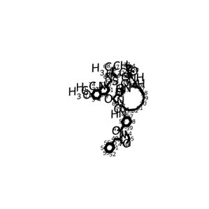 COc1ccc2c(O[C@@H]3C[C@H]4C(=O)N[C@]5(C(=O)NS(=O)(=O)C6(C)CC6)C[C@H]5/C=C\CCCCC[C@H](Nc5cccc(C(=O)N6CCOCC6Cc6ccccc6)c5)C(=O)N4C3)cc(-c3nc(C(C)C)cs3)nc2c1C